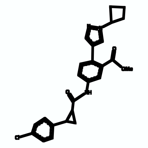 COC(=O)c1cc(NC(=O)C2CC2c2ccc(Cl)cc2)ccc1-c1cnn(C2CCC2)c1